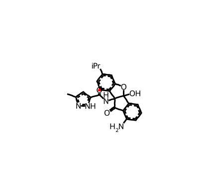 Cc1cc(C(=O)NC23C(=O)c4c(N)cccc4C2(O)Oc2cc(C(C)C)ccc23)[nH]n1